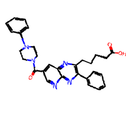 O=C(O)CCCCc1nc2cc(C(=O)N3CCN(c4ccccc4)CC3)cnc2nc1-c1ccccc1